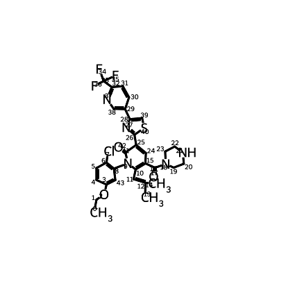 CCOc1ccc(Cl)c(-n2c(C=C(C)C)c(C(=O)N3CCNCC3)cc(-c3nc(-c4ccc(C(F)(F)F)nc4)cs3)c2=O)c1